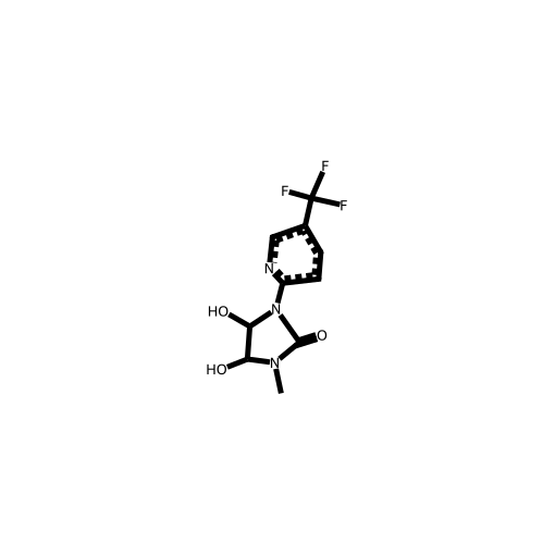 CN1C(=O)N(c2ccc(C(F)(F)F)cn2)C(O)C1O